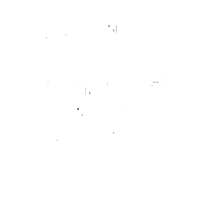 Cl.NC1C2=C(CCCC2)N(n2ccc3ccccc32)c2ccccc21